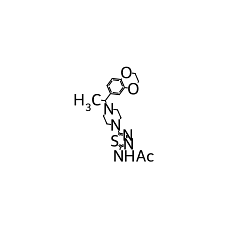 CC(=O)Nc1nnc(N2CCN(C(C)c3ccc4c(c3)OCCO4)CC2)s1